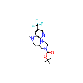 CN1CCC2CN(C(=O)OC(C)(C)C)CCN2c2ncc(C(F)(F)F)cc21